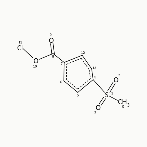 CS(=O)(=O)c1ccc(C(=O)OCl)cc1